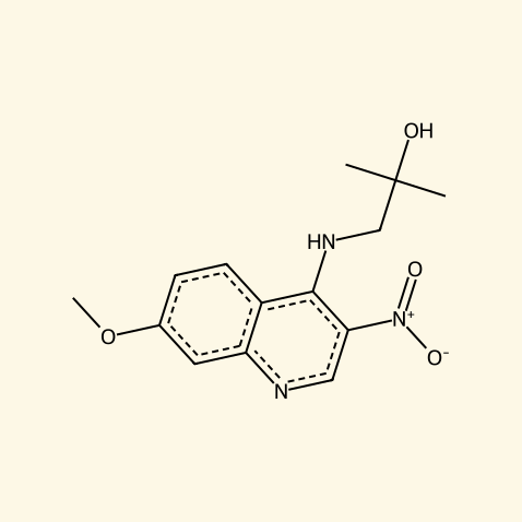 COc1ccc2c(NCC(C)(C)O)c([N+](=O)[O-])cnc2c1